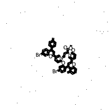 COC(=O)C(CCn1cc(C(=O)CC(c2ccc(C)cc2)c2ccc(Br)cc2)ccc1=O)n1cc(C(=O)CC(c2ccc(Br)cc2)c2ccccc2C)ccc1=O